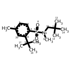 Cc1ccc(S(=O)(=O)N(C)CC(C)(C)C)c(C(C)(C)C)c1